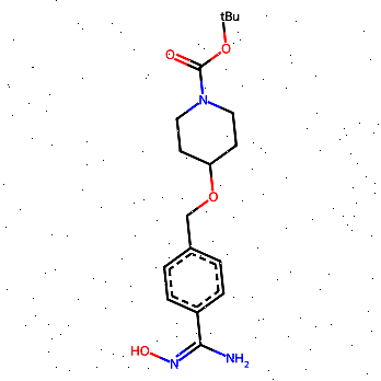 CC(C)(C)OC(=O)N1CCC(OCc2ccc(/C(N)=N\O)cc2)CC1